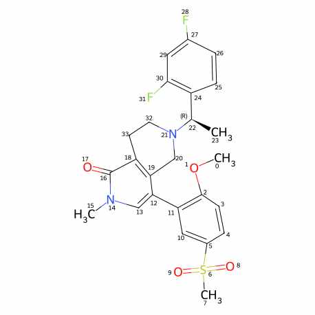 COc1ccc(S(C)(=O)=O)cc1-c1cn(C)c(=O)c2c1CN([C@H](C)c1ccc(F)cc1F)CC2